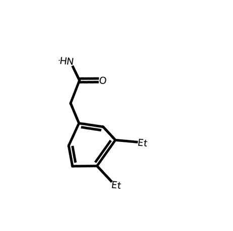 CCc1ccc(CC([NH])=O)cc1CC